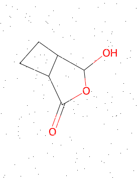 O=C1OC(O)C2CCC12